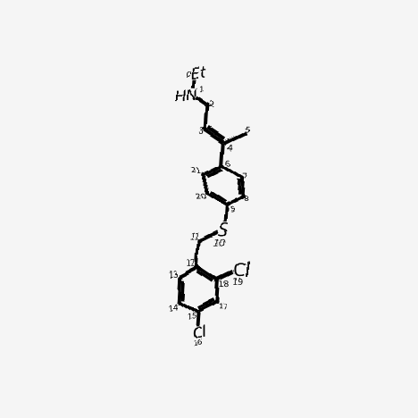 CCNCC=C(C)c1ccc(SCc2ccc(Cl)cc2Cl)cc1